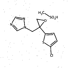 CS(=O)(=O)O.Clc1ccc(C2(Cn3cncn3)CO2)s1